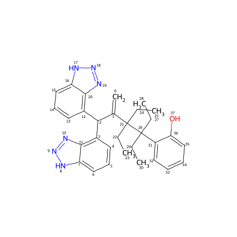 C=C(C(c1cccc2[nH]nnc12)c1cccc2[nH]nnc12)C(CC)(CC)C(CC)(CC)c1ccccc1O